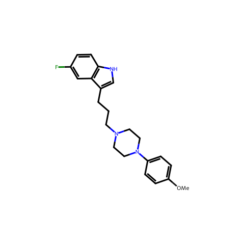 COc1ccc(N2CCN(CCCc3c[nH]c4ccc(F)cc34)CC2)cc1